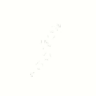 Cc1c(OC(=O)Nc2ccc(S(=O)(=O)N3CCCCC3)cc2)cccc1-c1ccc(C#N)cc1